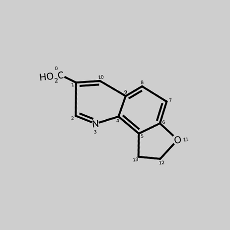 O=C(O)c1cnc2c3c(ccc2c1)OCC3